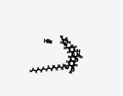 Br.CCCCCCCCCCCCCCOc1cc(CN(C(=O)NC)c2cccc(CN3C=C(C)SC3)c2)ccc1OC